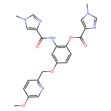 COc1ccc(COc2ccc(OC(=O)c3cn(C)cn3)c(NC(=O)c3cn(C)cn3)c2)nc1